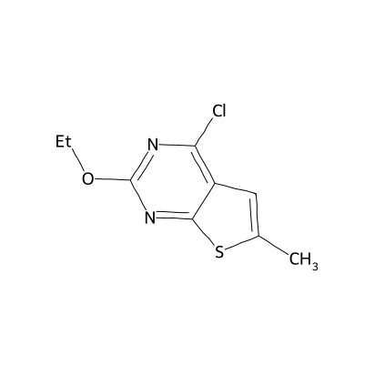 CCOc1nc(Cl)c2cc(C)sc2n1